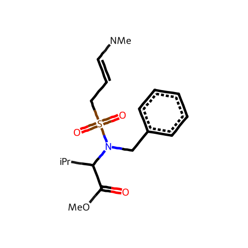 CNC=CCS(=O)(=O)N(Cc1ccccc1)C(C(=O)OC)C(C)C